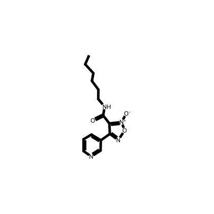 CCCCCCNC(=O)c1c(-c2cccnc2)no[n+]1[O-]